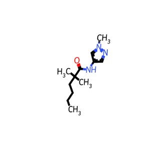 CCCCC(C)(C)C(=O)Nc1cnn(C)c1